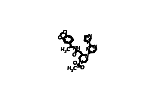 CC(NC(=O)CC1CN(S(C)(=O)=O)CCN1c1ccnc(-n2ccnc2)n1)c1ccc2c(c1)OCO2